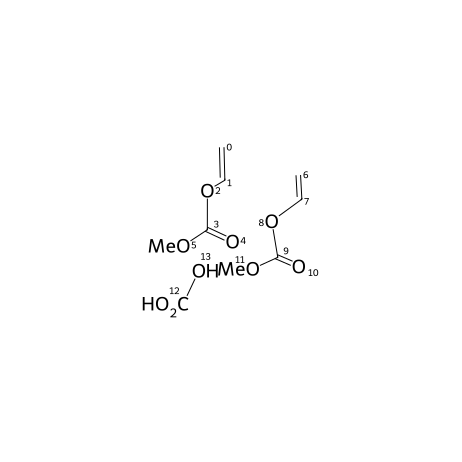 C=COC(=O)OC.C=COC(=O)OC.O=C(O)O